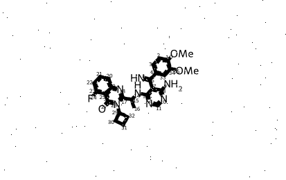 COc1ccc(C(=N)c2c(N)ncnc2NC(C)c2nc3cccc(F)c3c(=O)n2C2CCC2)cc1OC